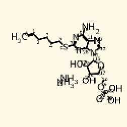 C=CCCCCSc1nc(N)c2ncn([C@@H]3O[C@H](COP(=O)(O)O)[C@@H](O)[C@H]3O)c2n1.N.N